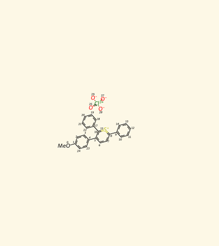 COc1ccc(-c2ccc(-c3ccccc3)[s+]c2-c2ccccc2)cc1.[O-][Cl+3]([O-])([O-])[O-]